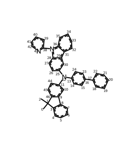 CC1(C)c2ccccc2-c2cc(N(c3ccc(-c4ccccc4)cc3)c3ccc4c(c3)c3ccccc3n4-c3ccccn3)ccc21